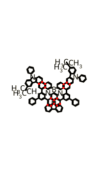 CC(C)(C)c1ccc2c(c1)c1cc(-c3ccc4c(c3)N(c3c(-c5ccccc5)cc(-c5ccccc5)cc3-c3ccccc3)c3cc(-n5c6ccccc6c6ccccc65)cc5c3B4c3ccc(-c4ccc6c(c4)c4cc(C(C)(C)C)ccc4n6-c4ccccc4)cc3N5c3c(-c4ccccc4)cc(-c4ccccc4)cc3-c3ccccc3)ccc1n2-c1ccccc1